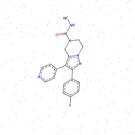 N#CNC(=O)N1CCn2nc(-c3ccc(F)cc3)c(-c3ccncc3)c2C1